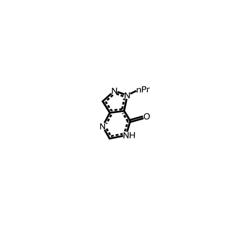 CCCn1ncc2nc[nH]c(=O)c21